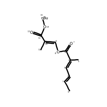 CC=CC=C(C)C(=O)OC=C(C)C(=O)OCCCC